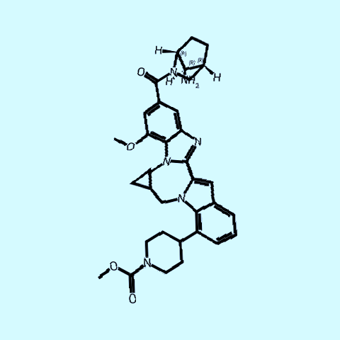 COC(=O)N1CCC(c2cccc3cc(-c4nc5cc(C(=O)N6C[C@H]7CC[C@@H]6[C@@H]7N)cc(OC)c5n4C)n(CC4CC4)c23)CC1